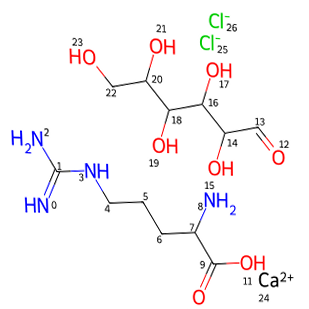 N=C(N)NCCCC(N)C(=O)O.O=CC(O)C(O)C(O)C(O)CO.[Ca+2].[Cl-].[Cl-]